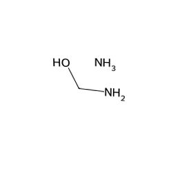 N.NCO